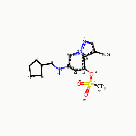 N#Cc1cnn2cc(NCC3CCCC3)cc(OS(=O)(=O)C(F)(F)F)c12